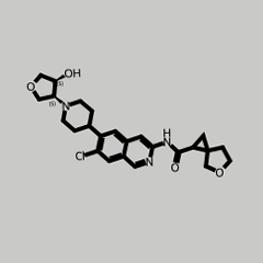 O=C(Nc1cc2cc(C3CCN([C@H]4COC[C@H]4O)CC3)c(Cl)cc2cn1)C1CC12CCOC2